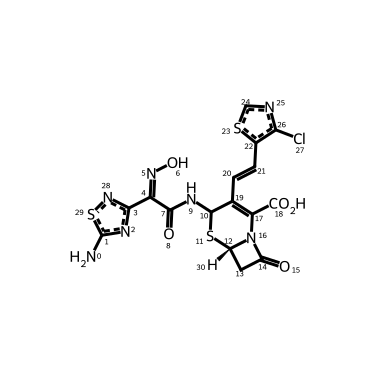 Nc1nc(C(=NO)C(=O)NC2S[C@H]3CC(=O)N3C(C(=O)O)=C2C=Cc2scnc2Cl)ns1